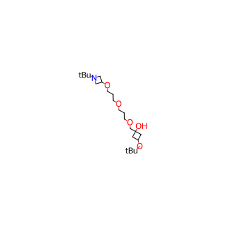 CC(C)(C)OC1CC(O)(COCCCOCCCOC2CN(C(C)(C)C)C2)C1